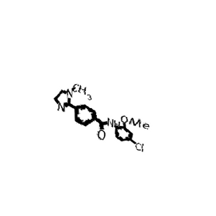 COc1cc(Cl)ccc1NC(=O)c1ccc(C2=NCCN2C)cc1